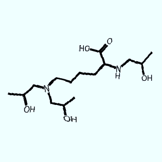 CC(O)CNC(CCCCN(CC(C)O)CC(C)O)C(=O)O